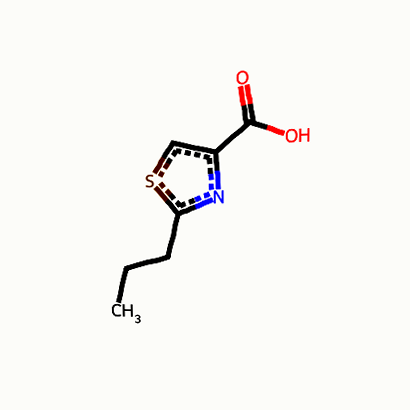 CCCc1nc(C(=O)O)cs1